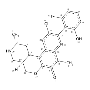 C[C@@H]1CN2c3c(c(=O)n(C)c4nc(-c5c(O)cccc5F)c(Cl)cc34)OC[C@H]2CN1